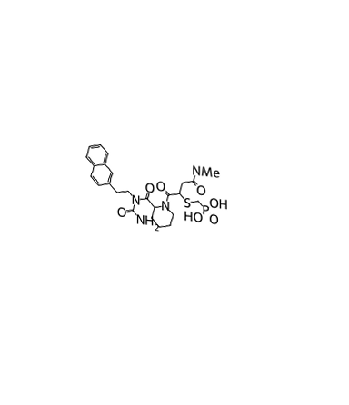 CNC(=O)CC(SCP(=O)(O)O)C(=O)N1CCCCC1C(=O)N(CCc1ccc2ccccc2c1)C(N)=O